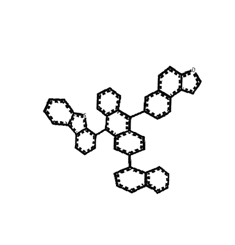 c1ccc2c(-c3ccc4c(-c5ccc6c(ccc7occc76)c5)c5ccccc5c(-c5cccc6c5sc5ccccc56)c4c3)cccc2c1